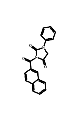 O=C1CN(c2ccccc2)C(=O)N1C(=O)c1ccc2ccccc2c1